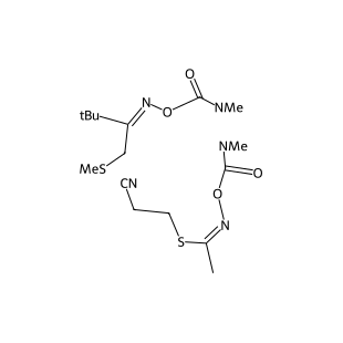 CNC(=O)O/N=C(/C)SCCC#N.CNC(=O)ON=C(CSC)C(C)(C)C